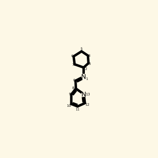 C(=N\C1CCCCC1)/c1ccccn1